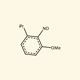 COc1cccc(C(C)C)c1N=O